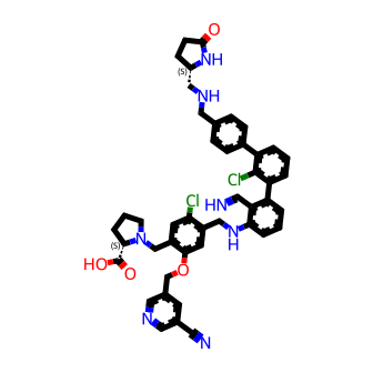 N#Cc1cncc(COc2cc(CNc3cccc(-c4cccc(-c5ccc(CNC[C@@H]6CCC(=O)N6)cc5)c4Cl)c3C=N)c(Cl)cc2CN2CCC[C@H]2C(=O)O)c1